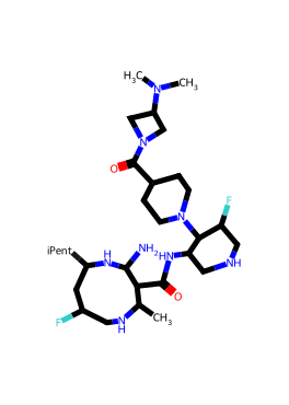 CCCC(C)C1CC(F)CNC(C)C(C(=O)NC2CNCC(F)C2N2CCC(C(=O)N3CC(N(C)C)C3)CC2)C(N)N1